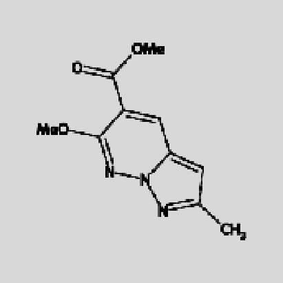 COC(=O)c1cc2cc(C)nn2nc1OC